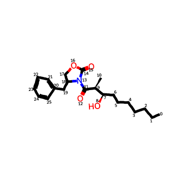 CCCCCCC[C@@H](O)[C@H](C)C(=O)N1C(=O)OCC1Cc1ccccc1